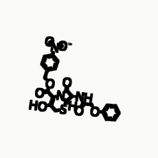 O=C(COc1ccccc1)N[C@@H]1C(=O)N2C(C(=O)OCc3ccc([N+](=O)[O-])cc3)=C(O)CS[C@@H]12